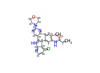 C=CC(=O)Nc1cc(-c2c(-c3cnc(N4CCOCC4)nc3)[nH]c3nccc(Cl)c23)ccc1C